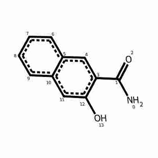 NC(=O)c1cc2ccccc2cc1O